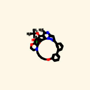 Cc1nc2cc3nn2c(c1[C@H](OC(C)(C)C)C(=O)O)-c1ccc2c(c1Cl)N(CCCCOc1cccc(c1)-c1cccc-3c1)CCO2